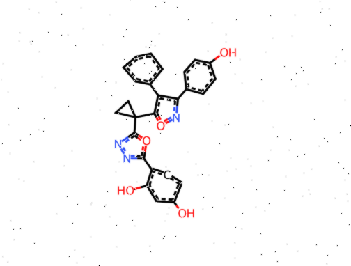 Oc1ccc(-c2noc(C3(c4nnc(-c5ccc(O)cc5O)o4)CC3)c2-c2ccccc2)cc1